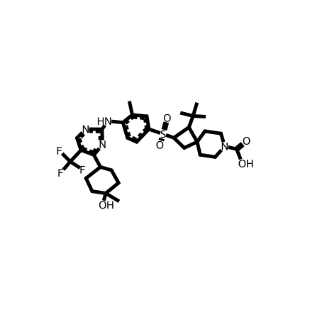 Cc1cc(S(=O)(=O)C2CC3(CCN(C(=O)O)CC3)C2C(C)(C)C)ccc1Nc1ncc(C(F)(F)F)c(C2CCC(C)(O)CC2)n1